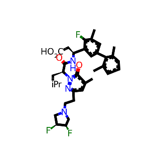 Cc1cc(-c2c(C)cccc2C)cc([C@H](CC(=O)O)NC(=O)[C@H](CC(C)C)n2nc(CCN3C[C@@H](F)[C@@H](F)C3)cc(C)c2=O)c1F